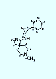 CN1CCC(CC#N)(CN[C@@H]2C[C@H]2c2ccccc2)CC1